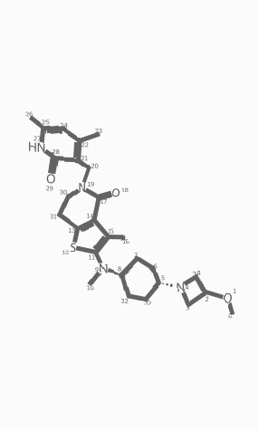 COC1CN([C@H]2CC[C@H](N(C)c3sc4c(c3C)C(=O)N(Cc3c(C)cc(C)[nH]c3=O)CC4)CC2)C1